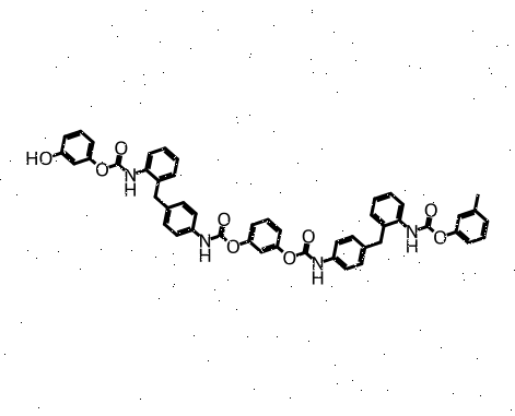 Cc1cccc(OC(=O)Nc2ccccc2Cc2ccc(NC(=O)Oc3cccc(OC(=O)Nc4ccc(Cc5ccccc5NC(=O)Oc5cccc(O)c5)cc4)c3)cc2)c1